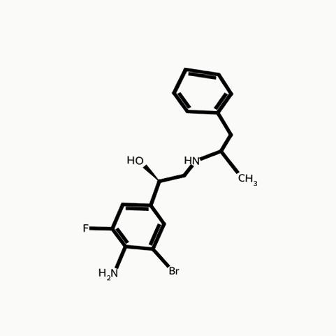 CC(Cc1ccccc1)NC[C@H](O)c1cc(F)c(N)c(Br)c1